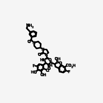 NCc1cccc(C(=O)N2CCC(N3CCN(C(=O)NC(C(=O)NC4Cc5ccc(F)c(C(=O)O)c5OB4O)c4cc(F)c(O)c(O)c4Cl)C3=O)CC2)c1